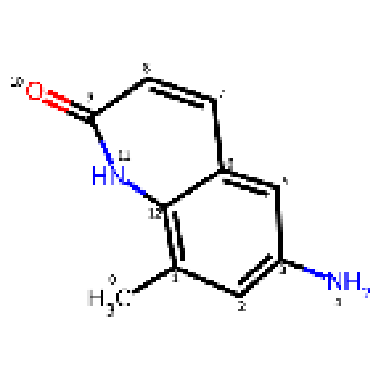 Cc1cc(N)cc2ccc(=O)[nH]c12